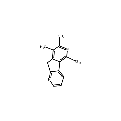 Cc1nc(C)c2c(c1C)Cc1ncccc1-2